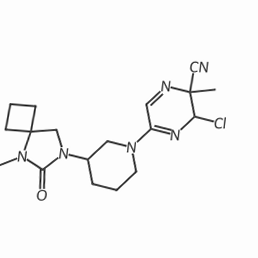 CN1C(=O)N(C2CCCN(C3=NC(Cl)C(C)(C#N)N=C3)C2)CC12CCC2